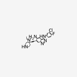 CCN(CC)C1(C#Cc2cc3ncnc(Nc4ccc(F)c(Cl)c4)c3cc2N)CCNCC1